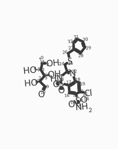 C[C@H](O)[C@@H](O)[C@@H](O)[C@H](O)C=O.NS(=O)(=O)c1cc2c(cc1Cl)N=C(CSCc1ccccc1)NS2(=O)=O